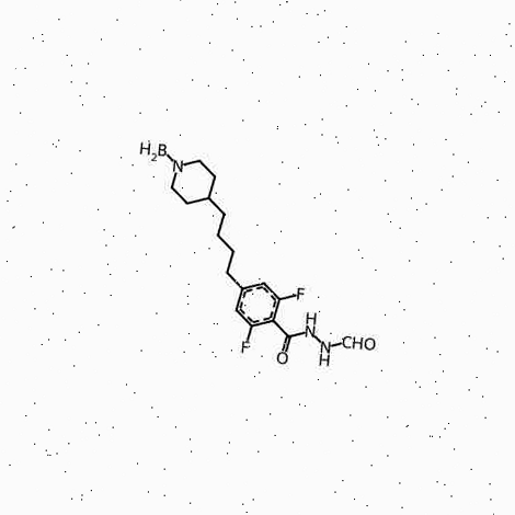 BN1CCC(CCCCc2cc(F)c(C(=O)NNC=O)c(F)c2)CC1